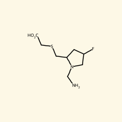 NCN1CC(F)CC1CSCC(=O)O